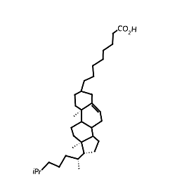 CC(C)CCC[C@@H](C)[C@H]1CCC2C3CC=C4CC(CCCCCCCC(=O)O)CC[C@]4(C)C3CC[C@@]21C